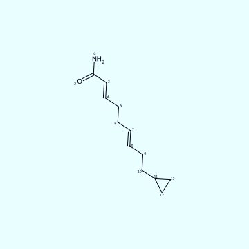 NC(=O)C=CCCC=CCCC1CC1